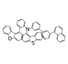 c1cc(-c2cccc(N(c3ccccc3-c3cccc4oc5ccccc5c34)c3cccc4sc5ccccc5c34)c2)cc(-c2cccc3ccccc23)c1